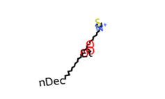 CCCCCCCCCCCCCCCCCCCCCCOCC(COCCCCCC[n+]1ccsc1)OCC